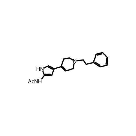 CC(=O)Nc1cc(C2=CCN(CCc3ccccc3)CC2)c[nH]1